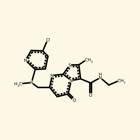 CCNC(=O)c1c(C)sc2nc(CN(C)c3ccc(Cl)cn3)cc(=O)n12